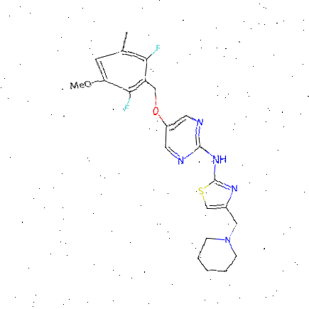 COc1cc(C)c(F)c(COc2cnc(Nc3nc(CN4CCCCC4)cs3)nc2)c1F